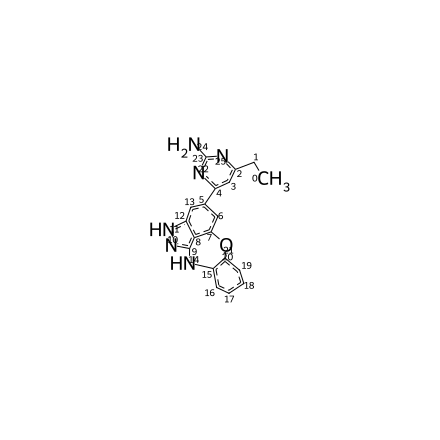 CCc1cc(-c2cc3c4c(n[nH]c4c2)Nc2ccccc2O3)nc(N)n1